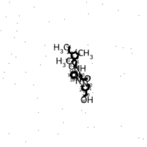 CCCC1CC(C)CC(CC)(CC(=O)Nc2cccc3nc(C(=O)N4CCC(CCO)CC4)cn23)C1